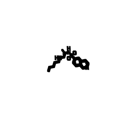 CCCCCNC[C@@H](C)NS(=O)(=O)c1ccc2cnccc2c1